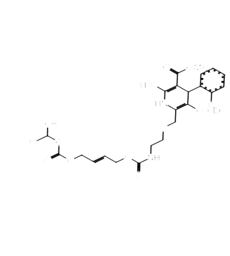 CCOC(=O)C1=C(COCCNC(=O)OCC=CCOC(=O)OC(C)Cl)NC(C)=C(C(=O)OC)C1c1ccccc1Cl